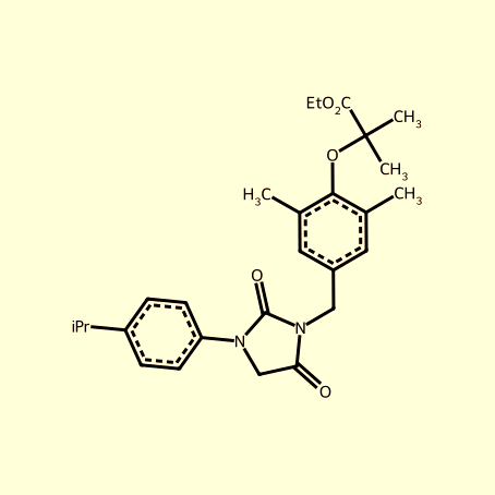 CCOC(=O)C(C)(C)Oc1c(C)cc(CN2C(=O)CN(c3ccc(C(C)C)cc3)C2=O)cc1C